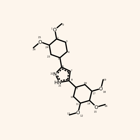 COC1CCC(c2cc(C3CC(OC)C(OC)C(OC)C3)[nH]n2)CC1OC